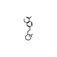 C=C(C)c1ccc(CCC2CCCCN2C)cc1CC